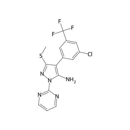 CSc1nn(-c2ncccn2)c(N)c1-c1cc(Cl)cc(C(F)(F)F)c1